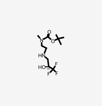 CN(CCNC[C@H](O)C(F)(F)F)C(=O)OC(C)(C)C